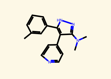 Cc1cccc(-c2[nH]nc(N(C)C)c2-c2ccncc2)c1